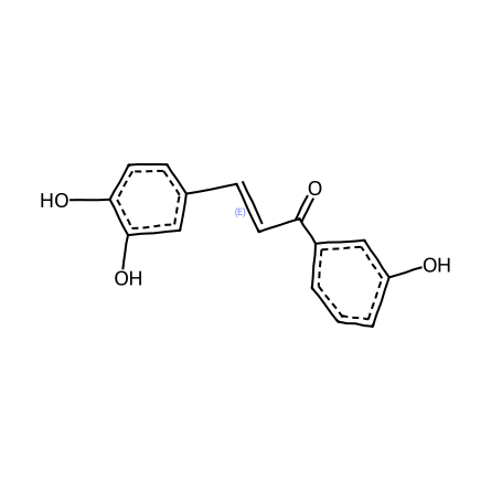 O=C(/C=C/c1ccc(O)c(O)c1)c1cccc(O)c1